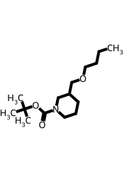 CCCCOCC1CCCN(C(=O)OC(C)(C)C)C1